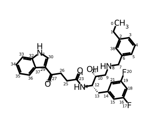 CCc1cccc(CNC[C@@H](O)[C@H](Cc2cc(F)cc(F)c2)NC(=O)CCC(=O)c2c[nH]c3ccccc23)c1